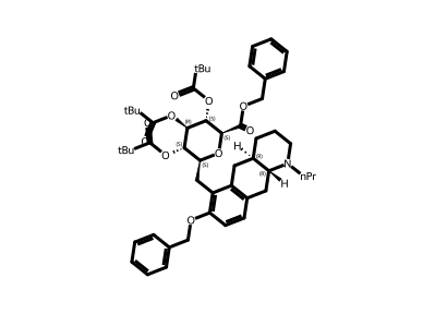 CCCN1CCC[C@@H]2Cc3c(ccc(OCc4ccccc4)c3C[C@@H]3O[C@H](C(=O)OCc4ccccc4)[C@@H](OC(=O)C(C)(C)C)[C@H](OC(=O)C(C)(C)C)[C@H]3OC(=O)C(C)(C)C)C[C@H]21